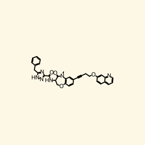 CN1C(=O)C(NC(=O)c2n[nH]c(Cc3ccccc3)n2)COc2ccc(C#CCCOc3ccc4cccnc4c3)cc21